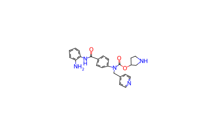 Nc1ccccc1NC(=O)c1ccc(N(Cc2ccncc2)C(=O)OC2CCNC2)cc1